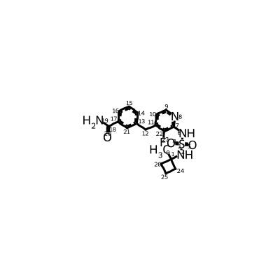 CC1(NS(=O)(=O)Nc2nccc(Cc3cccc(C(N)=O)c3)c2F)CCC1